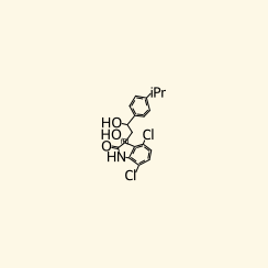 CC(C)c1ccc(C(O)C[C@]2(O)C(=O)Nc3c(Cl)ccc(Cl)c32)cc1